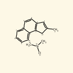 CC1=Cc2ccc3ccccc3c2C1.C[Si](C)Cl